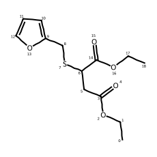 CCOC(=O)CC(SCc1ccco1)C(=O)OCC